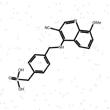 COc1cccc2c(NCc3ccc(CP(=O)(O)O)cc3)c(C#N)cnc12